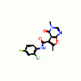 Cc1oc2ncn(C)c(=O)c2c1C(=O)Nc1ccc(F)cc1Cl